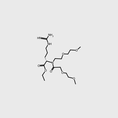 CCOC(=O)[C@H](CCCNC(=N)N)N(CCOCCOC)C(=O)COCCOC